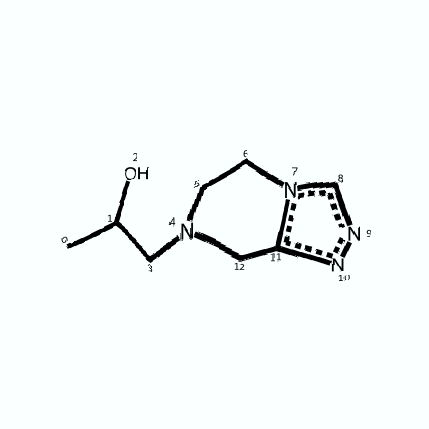 CC(O)CN1CCn2cnnc2C1